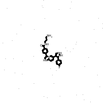 NCCCNC(=O)c1ccc(C2=CNC3C=CC(C4=CNNC4c4ccc(F)cc4)=CN23)cc1